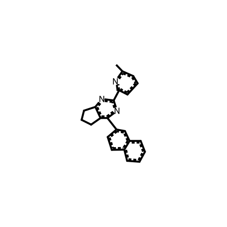 Cc1cccc(-c2nc3c(c(-c4ccc5ccccc5c4)n2)CCC3)n1